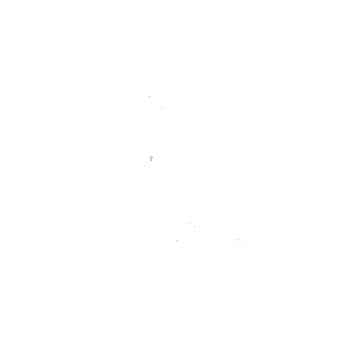 CC(=O)N(CCN(C)C)c1ccc(NC(=C2C(=O)Nc3cc(F)ccc32)c2cccc(CCC(=O)O)c2)cc1